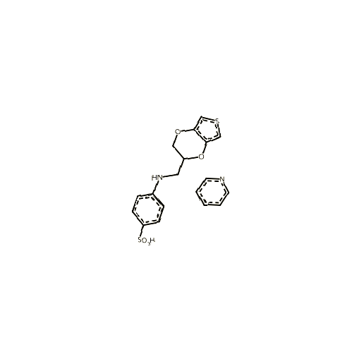 O=S(=O)(O)c1ccc(NCC2COc3cscc3O2)cc1.c1ccncc1